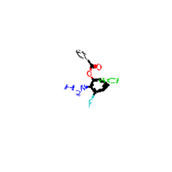 CCC(=O)Oc1cccc(F)c1N.Cl